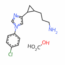 NCCCC1CC1c1cn(-c2ccc(Cl)cc2)cn1.O=C(O)O